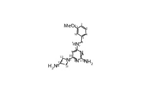 COc1cccc(CNc2cc(N3CC(N)C3)nc(N)n2)c1